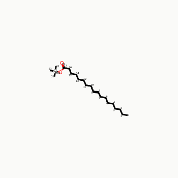 CCCCCCCCC=CCCCCCCCC(=O)O[Si](C)(C)C